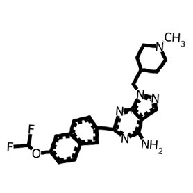 CN1CCC(Cn2ncc3c(N)nc(-c4ccc5cc(OC(F)F)ccc5c4)nc32)CC1